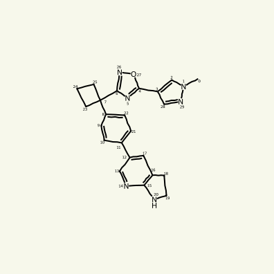 Cn1cc(-c2nc(C3(c4ccc(-c5cnc6c(c5)CCN6)cc4)CCC3)no2)cn1